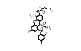 CCS(=O)(=O)Nc1cccc(Oc2cc(F)cc(Nc3ccc(I)cc3F)c2NS(N)(=O)=O)c1C